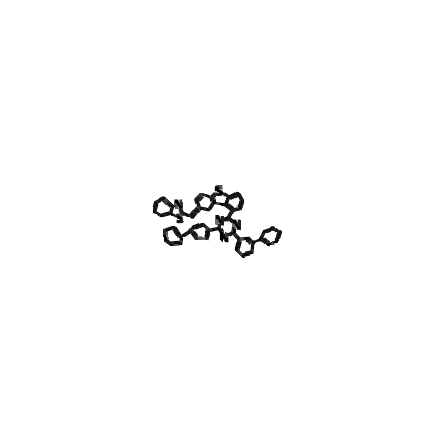 C1=Cc2sc3cccc(-c4nc(-c5ccc(-c6ccccc6)cc5)nc(-c5cccc(-c6ccccc6)c5)n4)c3c2C/C1=C/c1nc2ccccc2s1